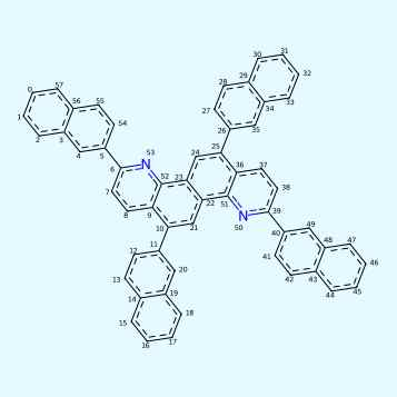 c1ccc2cc(-c3ccc4c(-c5ccc6ccccc6c5)cc5c(cc(-c6ccc7ccccc7c6)c6ccc(-c7ccc8ccccc8c7)nc65)c4n3)ccc2c1